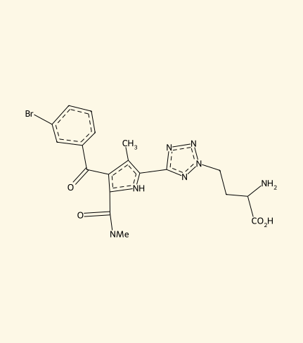 CNC(=O)c1[nH]c(-c2nnn(CCC(N)C(=O)O)n2)c(C)c1C(=O)c1cccc(Br)c1